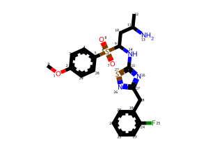 COc1ccc(S(=O)(=O)C(CC(C)N)Nc2nc(Cc3ccccc3F)ns2)cc1